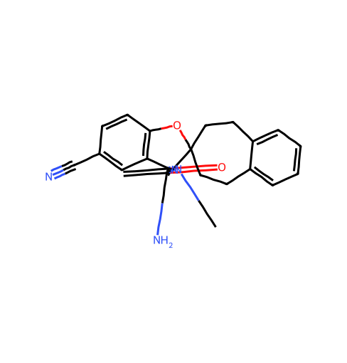 CN1C(=O)C2(N=C1N)c1cc(C#N)ccc1OC21CCc2ccccc2CC1